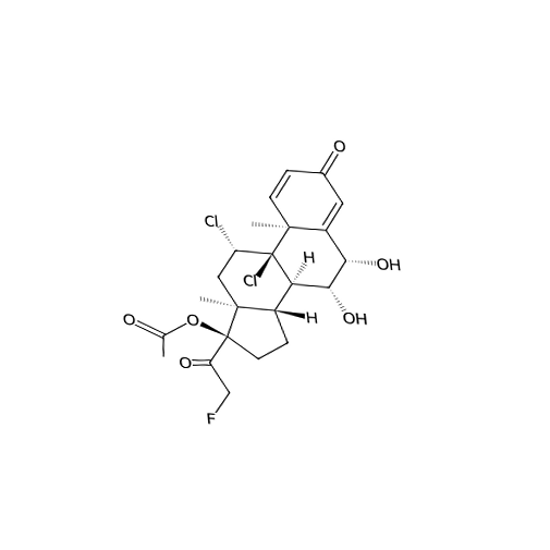 CC(=O)O[C@]1(C(=O)CF)CC[C@H]2[C@@H]3[C@@H](O)[C@@H](O)C4=CC(=O)C=C[C@]4(C)[C@@]3(Cl)[C@@H](Cl)C[C@@]21C